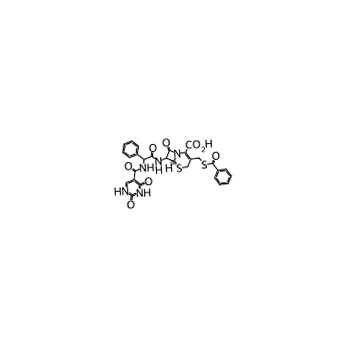 O=C(O)C1=C(CSC(=O)c2ccccc2)CS[C@H]2C(NC(=O)C(NC(=O)c3c[nH]c(=O)[nH]c3=O)c3ccccc3)C(=O)N12